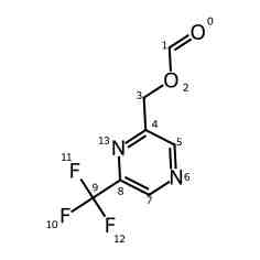 O=COCc1cncc(C(F)(F)F)n1